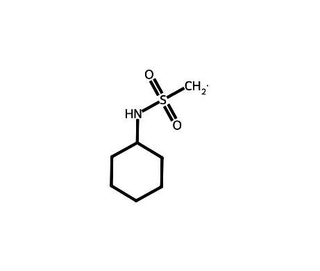 [CH2]S(=O)(=O)NC1CCCCC1